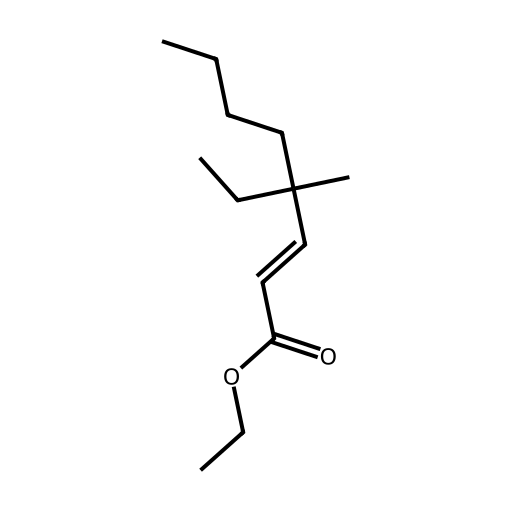 CCCCC(C)(/C=C/C(=O)OCC)CC